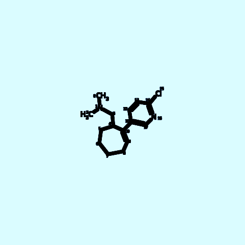 CN(C)CC1CCCCC=C1c1ccc(Cl)nc1